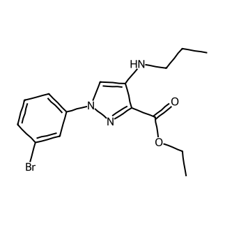 CCCNc1cn(-c2cccc(Br)c2)nc1C(=O)OCC